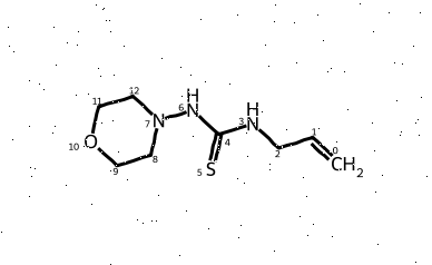 C=CCNC(=S)NN1CCOCC1